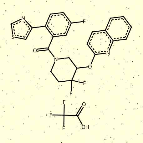 O=C(O)C(F)(F)F.O=C(c1cc(F)ccc1-c1cscn1)N1CCC(F)(F)C(Oc2ccc3ccccc3n2)C1